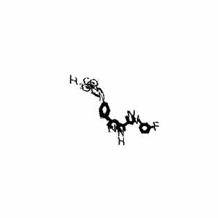 CS(=O)(=O)N1CCN(c2ccc(-c3cnc4[nH]cc(-c5cnn(Cc6cccc(F)c6)c5)c4c3)cc2)CC1